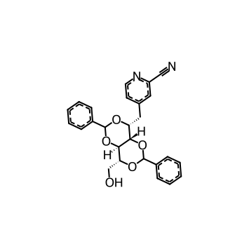 N#Cc1cc(C[C@H]2OC(c3ccccc3)O[C@H]3[C@H]2OC(c2ccccc2)O[C@@H]3CO)ccn1